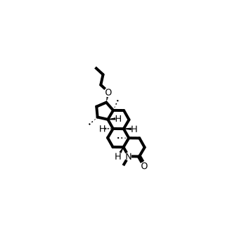 CCCO[C@H]1C[C@@H](C)[C@H]2[C@@H]3CC[C@H]4N(C)C(=O)CC[C@]4(C)[C@H]3CC[C@@]21C